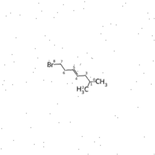 CC(C)C/C=C/CCBr